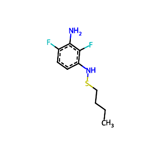 CCCCSNc1ccc(F)c(N)c1F